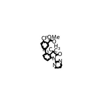 COC(=O)c1cc(-c2cccc3c2C(C)(C)C(=O)N3c2ncccn2)ccc1C(F)(F)F